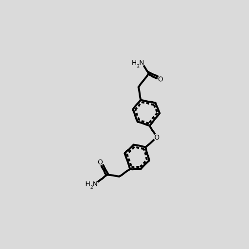 NC(=O)Cc1ccc(Oc2ccc(CC(N)=O)cc2)cc1